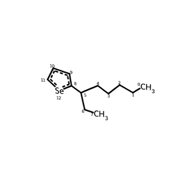 CCCCCC(CC)c1ccc[se]1